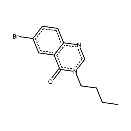 CCCCn1cnc2ccc(Br)cc2c1=O